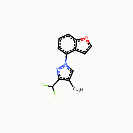 O=C(O)c1cn(-c2cccc3occc23)nc1C(F)F